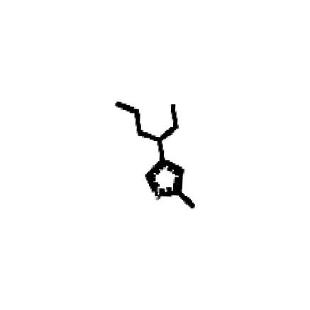 CCCC(CC)c1csc(C)c1